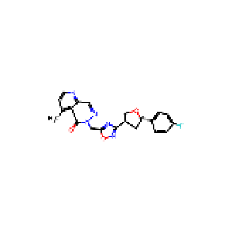 Cc1ccnc2cnn(Cc3nc(C4CO[C@@H](c5ccc(F)cc5)C4)no3)c(=O)c12